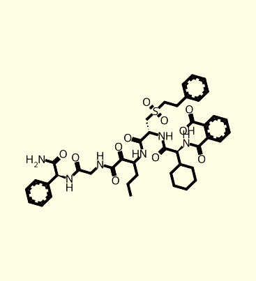 CCCC(NC(=O)[C@H](CS(=O)(=O)CCc1ccccc1)NC(=O)[C@@H](NC(=O)c1ccccc1C(=O)O)C1CCCCC1)C(=O)C(=O)NCC(=O)N[C@H](C(N)=O)c1ccccc1